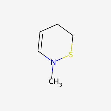 CN1C=CCCS1